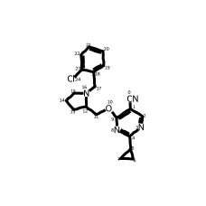 N#Cc1cnc(C2CC2)nc1OCC1CCCN1Cc1ccccc1Cl